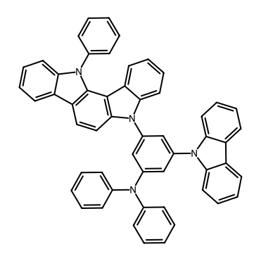 c1ccc(N(c2ccccc2)c2cc(-n3c4ccccc4c4ccccc43)cc(-n3c4ccccc4c4c3ccc3c5ccccc5n(-c5ccccc5)c34)c2)cc1